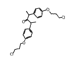 CC(C(=O)C(C)c1ccc(OCCCCl)cc1)c1ccc(OCCCCl)cc1